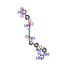 Cc1ccc(NC2CCNCC2)cc1C(=O)N[C@H](C)c1cccc(-c2ccc(CNC(=O)CCCCCNC(=O)COc3ccc(C4CCC(=O)NC4=O)cc3)s2)c1